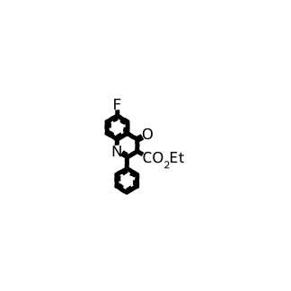 CCOC(=O)C1C(=O)c2cc(F)ccc2N=C1c1ccccc1